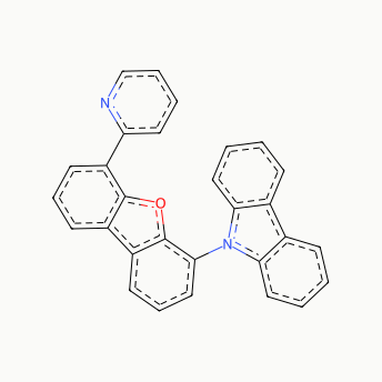 c1ccc(-c2cccc3c2oc2c(-n4c5ccccc5c5ccccc54)cccc23)nc1